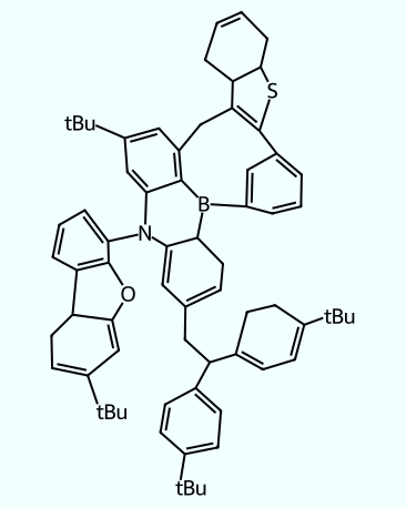 CC(C)(C)C1=CCC2C(=C1)Oc1c2cccc1N1C2=CC(CC(C3=CC=C(C(C)(C)C)CC3)c3ccc(C(C)(C)C)cc3)=CCC2B2c3cccc(c3)C3=C(Cc4cc(C(C)(C)C)cc1c42)C1CC=CCC1S3